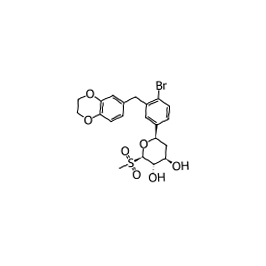 CS(=O)(=O)[C@H]1O[C@@H](c2ccc(Br)c(Cc3ccc4c(c3)OCCO4)c2)C[C@@H](O)[C@@H]1O